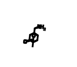 CC12CCC(CN)(CC1)OC2=O